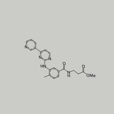 COC(=O)CCNC(=O)c1ccc(C)c(Nc2nccc(-c3cccnc3)n2)c1